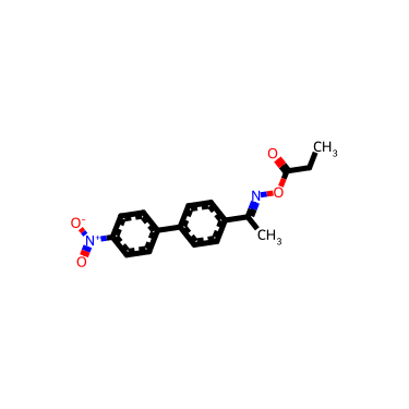 CCC(=O)ON=C(C)c1ccc(-c2ccc([N+](=O)[O-])cc2)cc1